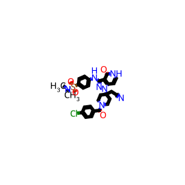 CN(C)S(=O)(=O)c1ccc(Nc2nn(C3(CC#N)CCN(C(=O)c4ccc(Cl)cc4)CC3)c3cc[nH]c(=O)c23)cc1